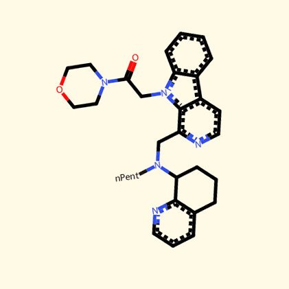 CCCCCN(Cc1nccc2c3ccccc3n(CC(=O)N3CCOCC3)c12)C1CCCc2cccnc21